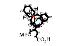 CO/N=C(\CCC(=O)O)c1nc2ccccc2n([C@H]2C[C@H]3CCC[C@@H](C2)N3C2CCCCCCCC2)c1=O